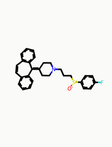 [O-][S+](CCCN1CCC(=C2c3ccccc3C=Cc3ccccc32)CC1)c1ccc(F)cc1